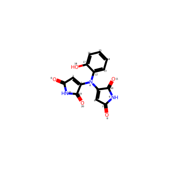 O=C1C=C(N(C2=CC(=O)NC2=O)c2ccccc2O)C(=O)N1